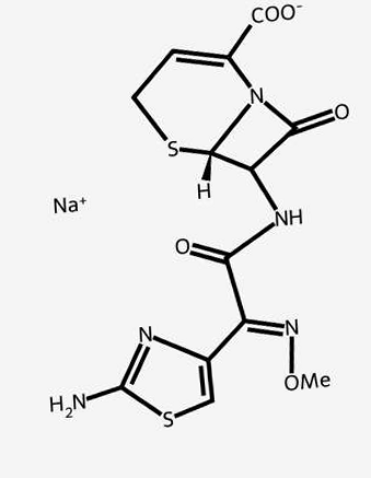 CON=C(C(=O)NC1C(=O)N2C(C(=O)[O-])=CCS[C@@H]12)c1csc(N)n1.[Na+]